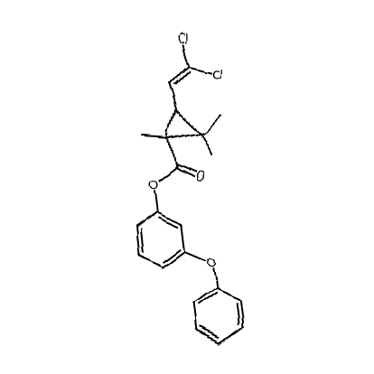 CC1(C)C(C=C(Cl)Cl)C1(C)C(=O)Oc1cccc(Oc2ccccc2)c1